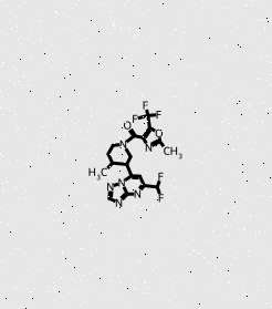 Cc1nc(C(=O)N2CCC(C)C(c3cc(C(F)F)nc4ncnn34)C2)c(C(F)(F)F)o1